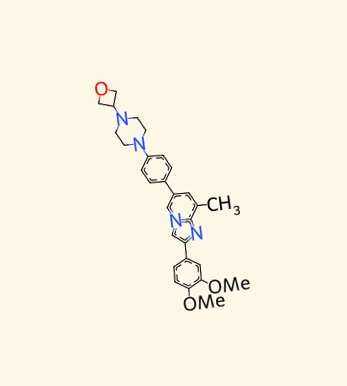 COc1ccc(-c2cn3cc(-c4ccc(N5CCN(C6COC6)CC5)cc4)cc(C)c3n2)cc1OC